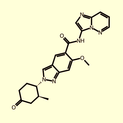 COc1cc2nn([C@H]3CCC(=O)C[C@@H]3C)cc2cc1C(=O)Nc1cnc2cccnn12